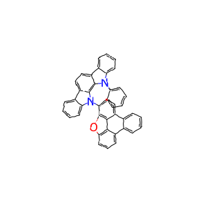 c1ccc(-n2c3ccccc3c3ccc4c5ccccc5n(-c5ccc6c7ccccc7c7cccc8oc5c6c87)c4c32)cc1